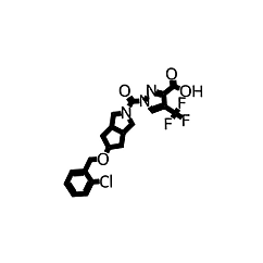 O=C(O)c1nn(C(=O)N2CC3CC(OCc4ccccc4Cl)CC3C2)cc1C(F)(F)F